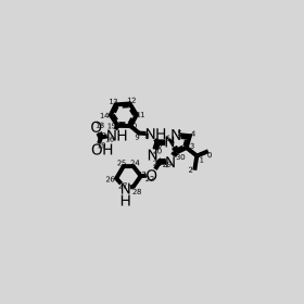 CC(C)c1cnn2c(NCc3ccccc3NC(=O)O)nc(OC3CCCNC3)nc12